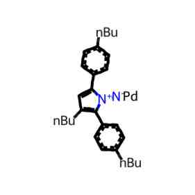 CCCCC1=C(c2ccc(CCCC)cc2)[N+](=[N-])C(c2ccc(CCCC)cc2)=C1.[Pd]